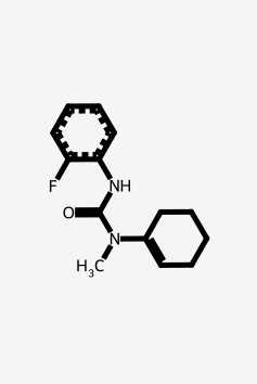 CN(C(=O)Nc1ccccc1F)C1=CCCCC1